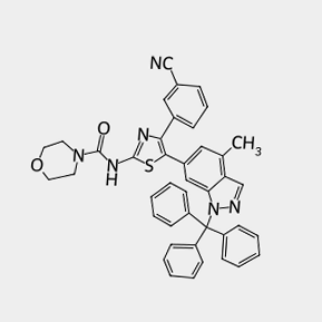 Cc1cc(-c2sc(NC(=O)N3CCOCC3)nc2-c2cccc(C#N)c2)cc2c1cnn2C(c1ccccc1)(c1ccccc1)c1ccccc1